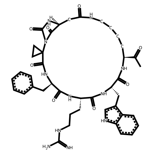 CC(=O)[C@@H]1CCCCNC(=O)C[C@@H]2NC(=O)N(C2=O)C2(CC2)C(=O)N[C@H](Cc2ccccc2)C(=O)N[C@@H](CCCNC(=N)N)C(=O)N[C@@H](Cc2c[nH]c3ccccc23)C(=O)N1